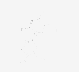 CCOc1nc(-c2ccc(Cl)c(OC)c2)c(Cl)cc1C(F)(F)F